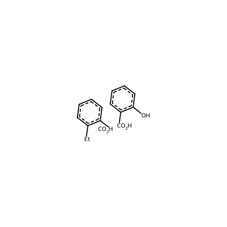 CCc1ccccc1C(=O)O.O=C(O)c1ccccc1O